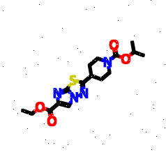 CCOC(=O)c1cn2nc(C3CCN(C(=O)OC(C)C)CC3)sc2n1